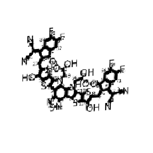 N#CC(C#N)=C1/C(=C/c2sc3c(sc4c5c6nsnc6c6c7sc8c(O)c(/C=C9\C(=O)c%10cc(F)c(F)cc%10C9=C(C#N)C#N)sc8c7n(CC(O)O)c6c5n(CC(O)O)c34)c2O)C(=O)c2cc(F)c(F)cc21